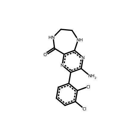 Nc1nc2c(nc1-c1cccc(Cl)c1Cl)C(=O)NCCN2